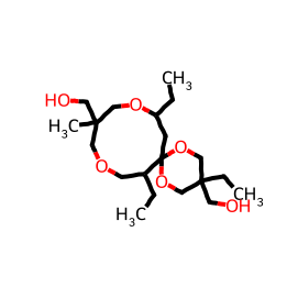 CCC1CC2(OCC(CC)(CO)CO2)C(CC)COCC(C)(CO)CO1